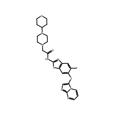 O=C(CN1CCN(C2CCOCC2)CC1)Nc1nc2cc(F)c(Sc3cnc4ncccn34)cc2s1